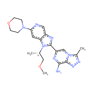 COC[C@H](C)n1c(-c2cn3c(C)nnc3c(N)n2)nc2cnc(N3CCOCC3)cc21